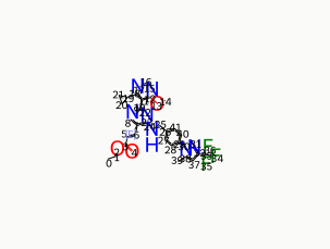 CCOC(=O)/C=C/c1cnc(-c2c(OC)ncnc2C2CC2)nc1NCc1ccc(-n2nc(C(F)(F)F)cc2C)cc1